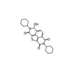 O=C1c2ccc3c4c(sc(c24)C(=O)N1C1CCCCC1)C(=O)N(C1CCCCC1)C3O